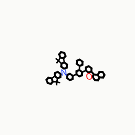 CC1(C)c2ccccc2-c2ccc(N(c3cccc(-c4ccc(-c5cccc6c5oc5ccc7ccccc7c56)c(-c5ccccc5)c4)c3)c3ccc4c(c3)C(C)(C)c3ccccc3-4)cc21